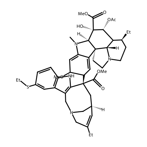 CCSc1ccc2[nH]c3c(c2c1)CN1CC(CC)=C[C@@H](C1)C[C@]3(C(=O)OC)C1C=C2C(=CC1OC)N(C)[C@H]1[C@@](O)(C(=O)OC)[C@H](OC(C)=O)C3[C@@H](CC)CCN4CC[C@]21[C@H]34